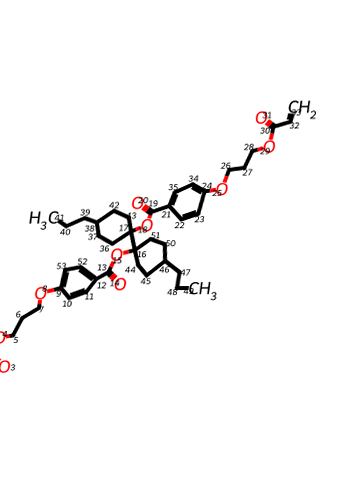 C=CC(=O)OCCCOc1ccc(C(=O)OC2(C3(OC(=O)c4ccc(OCCCOC(=O)C=C)cc4)CCC(CCC)CC3)CCC(CCC)CC2)cc1